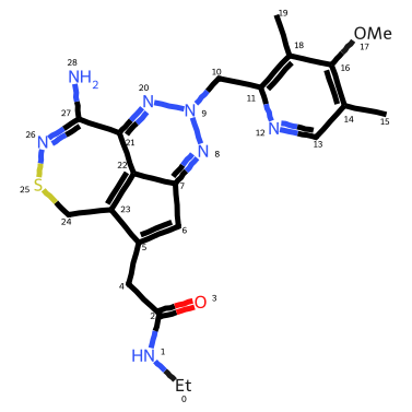 CCNC(=O)Cc1cc2nn(Cc3ncc(C)c(OC)c3C)nc3c-2c1CSN=C3N